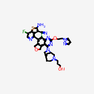 N#Cc1c(N)sc2c(F)cnc(-c3c4c(c5c(N6CC7CCN(CCCO)CC6C7)nc(OCCn6cccn6)nc5c3F)COC4)c12